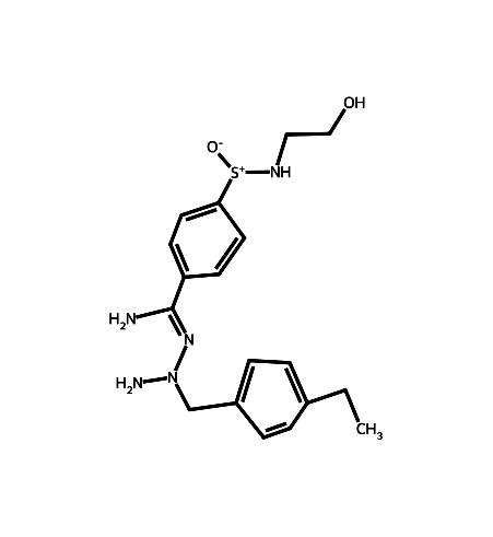 CCc1ccc(CN(N)/N=C(\N)c2ccc([S+]([O-])NCCO)cc2)cc1